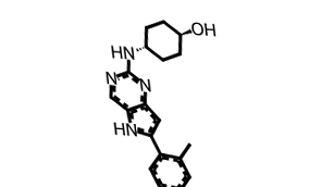 Cc1ccccc1-c1cc2nc(N[C@H]3CC[C@H](O)CC3)ncc2[nH]1